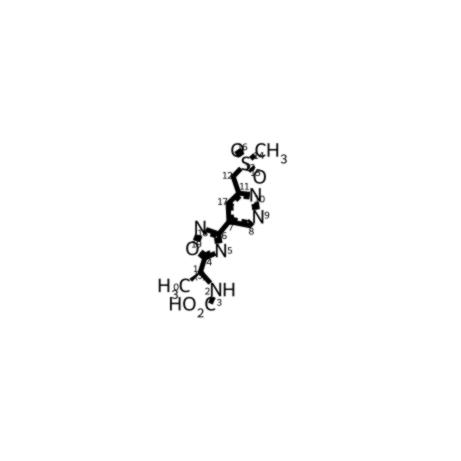 C[C@H](NC(=O)O)c1nc(-c2cnnc(CS(C)(=O)=O)c2)no1